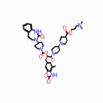 Cc1cc(C[C@@H](OC(=O)N2CCC(N3CCc4ccccc4NC3=O)CC2)C(=O)N2CCC(N3CCC(C(=O)OCCCN(C)C)CC3)CC2)cc2oc(=O)[nH]c12